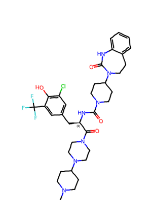 CN1CCC(N2CCN(C(=O)[C@@H](Cc3cc(Cl)c(O)c(C(F)(F)F)c3)NC(=O)N3CCC(N4CCc5ccccc5NC4=O)CC3)CC2)CC1